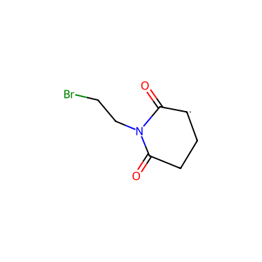 O=C1[CH]CCC(=O)N1CCBr